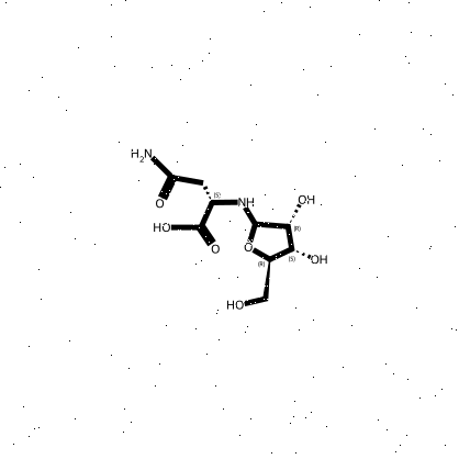 NC(=O)C[C@H](NC1O[C@H](CO)[C@@H](O)[C@H]1O)C(=O)O